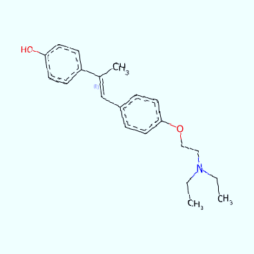 CCN(CC)CCOc1ccc(/C=C(\C)c2ccc(O)cc2)cc1